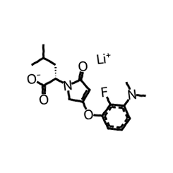 CC(C)C[C@@H](C(=O)[O-])N1CC(Oc2cccc(N(C)C)c2F)=CC1=O.[Li+]